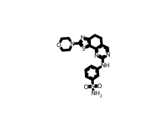 NS(=O)(=O)c1cccc(Nc2ncc3c(n2)-c2sc(N4CCOCC4)nc2CC3)c1